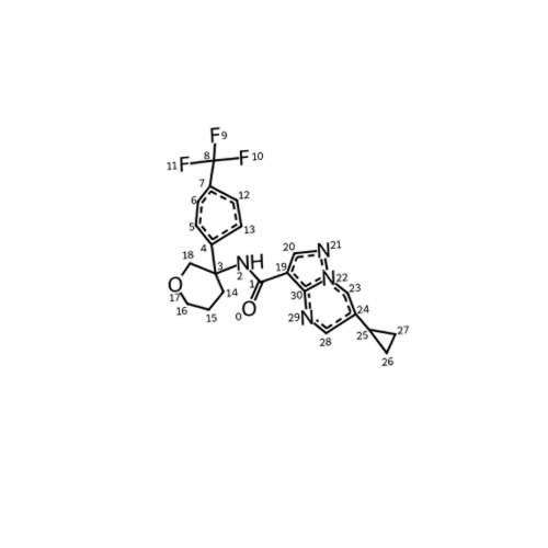 O=C(NC1(c2ccc(C(F)(F)F)cc2)CCCOC1)c1cnn2cc(C3CC3)cnc12